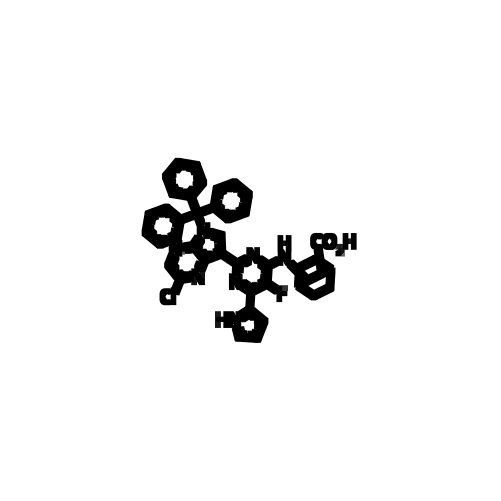 O=C(O)C1C2CCC(CC2)C1Nc1nc(-c2cn(C(c3ccccc3)(c3ccccc3)c3ccccc3)c3ncc(Cl)nc23)nc(-c2ccc[nH]2)c1F